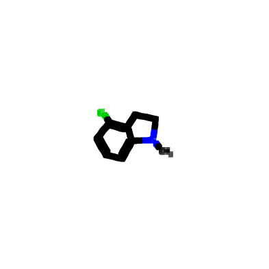 CN1CCc2c(Cl)cccc21